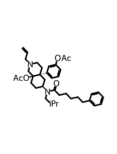 C=CCN1CC[C@@]2(c3cccc(OC(C)=O)c3)C[C@@H](N(CC(C)C)C(=O)CCCCCc3ccccc3)CC[C@]2(OC(C)=O)C1